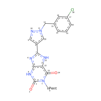 CCCCCn1c(=O)[nH]c2nc(-c3cnn(Cc4cccc(Cl)c4)c3)[nH]c2c1=O